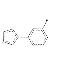 Fc1cccc(-c2[c]scc2)c1